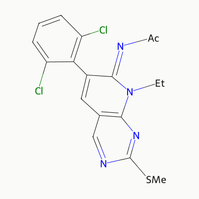 CCn1c(=NC(C)=O)c(-c2c(Cl)cccc2Cl)cc2cnc(SC)nc21